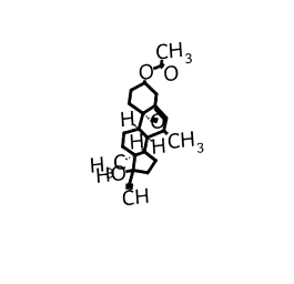 C#CC1(O)CC[C@H]2[C@@H]3C(C)C=C4CC(OC(C)=O)CC[C@]4(C=O)[C@@H]3CC[C@@]21C